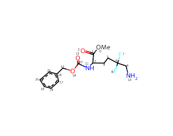 COC(=O)C(CCC(F)(F)CN)NC(=O)OCc1ccccc1